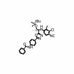 [C-]#[N+]c1ccc(N[C@@H](c2nnc(-c3ccc(NC(=O)c4ccccc4)cc3)o2)[C@H](C)O[Si](C)(C)C(C)(C)C)c(C)c1Cl